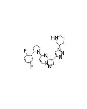 Fc1ccc(F)c(C2CCCN2c2ccn3ncc(-c4cn(C5CCCNC5)nn4)c3n2)c1